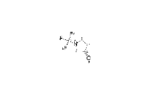 O=C1CCN(C(F)(F)F)C1